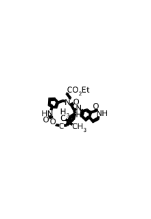 CCOC(=O)CCN1Cc2cccc(c2)NC(=O)OCCc2c(C)cc(cc2C)C(Nc2ccc3cc[nH]c(=O)c3c2)C1=O